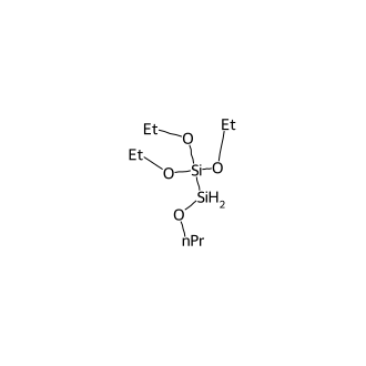 CCCO[SiH2][Si](OCC)(OCC)OCC